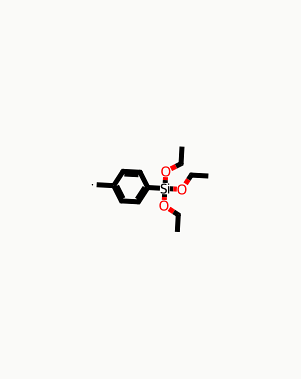 [CH2]c1ccc([Si](OCC)(OCC)OCC)cc1